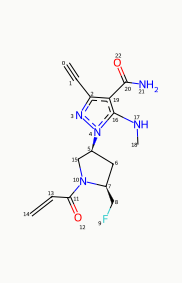 C#Cc1nn([C@H]2C[C@@H](CF)N(C(=O)C=C)C2)c(NC)c1C(N)=O